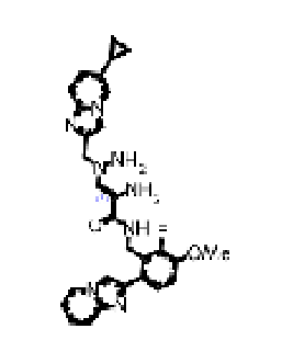 COc1ccc(-c2cn3ccccc3n2)c(CNC(=O)/C(N)=C/N(N)Cc2cn3cc(C4CC4)ccc3n2)c1F